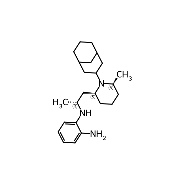 C[C@H](C[C@@H]1CCC[C@H](C)N1C1CC2CCCC(C2)C1)Nc1ccccc1N